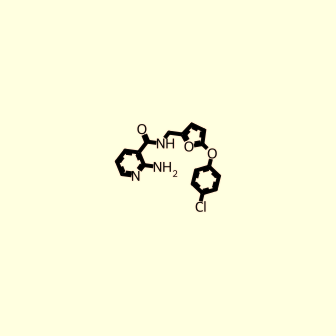 Nc1ncccc1C(=O)NCc1ccc(Oc2ccc(Cl)cc2)o1